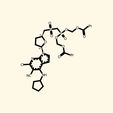 CC(C)C(=O)OCOP(=O)(CS(=O)(=O)C[C@@H]1CC[C@H](n2ccc3c(NC4CCCC4)c(C#N)c(Cl)nc32)O1)OCOC(=O)C(C)C